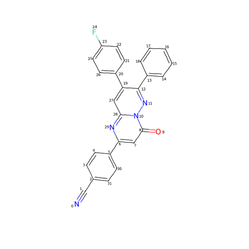 N#Cc1ccc(-c2cc(=O)n3nc(-c4ccccc4)c(-c4ccc(F)cc4)cc3n2)cc1